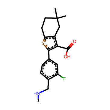 CNCc1ccc(-c2sc3c(c2C(=O)O)CC(C)(C)CC3)cc1F